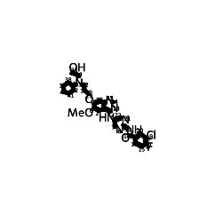 COc1cc2c(Nc3cnc(NC(=O)c4ccc(F)c(Cl)c4)nc3)ncnc2cc1OCCCN(CCO)C1CCCCC1